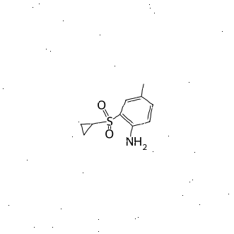 Cc1ccc(N)c(S(=O)(=O)C2CC2)c1